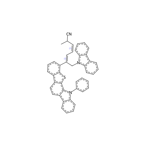 CC(C#N)/C=C\C=C(/Cn1c2ccccc2c2ccccc21)c1cccc2c1sc1c2ccc2c3ccccc3n(-c3ccccc3)c21